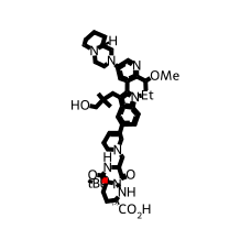 CCn1c(-c2cc(N3CCN4CCCC[C@@H]4C3)cnc2C(C)OC)c(CC(C)(C)CO)c2cc(C3=CCCN(CC(NC(=O)OC(C)(C)C)C(=O)N4CCC[C@@H](C(=O)O)N4)C3)ccc21